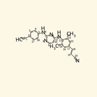 C#Cc1ccc(Nc2nccc(Nc3c(C)cc(C=CC#N)cc3C)n2)cc1